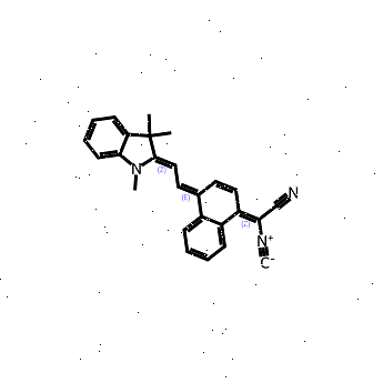 [C-]#[N+]/C(C#N)=c1/cc/c(=C\C=C2/N(C)c3ccccc3C2(C)C)c2ccccc12